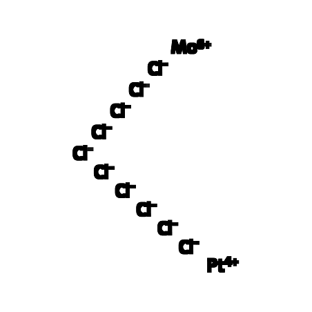 [Cl-].[Cl-].[Cl-].[Cl-].[Cl-].[Cl-].[Cl-].[Cl-].[Cl-].[Cl-].[Mo+6].[Pt+4]